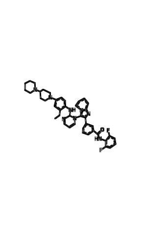 CCc1cc(N2CCC(N3CCCCC3)CC2)ccc1NC1N=CC=CN1c1c(-c2cccc(C(=O)Nc3c(F)cccc3F)c2)nc2ccccn12